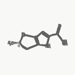 C[C@H]1Cc2[nH]c(C(=O)O)cc2O1